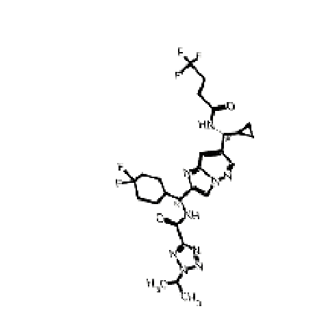 CC(C)n1nnc(C(=O)N[C@H](c2cn3ncc([C@H](NC(=O)CCC(F)(F)F)C4CC4)cc3n2)C2CCC(F)(F)CC2)n1